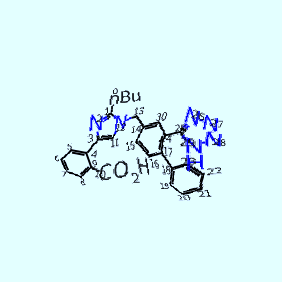 CCCCc1nc(-c2ccccc2C(=O)O)cn1Cc1ccc(-c2ccccc2)c(-c2nnn[nH]2)c1